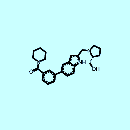 O=C(c1cccc(-c2ccc3[nH]c(CN4CCC[C@@H]4CO)cc3c2)c1)N1CCCCC1